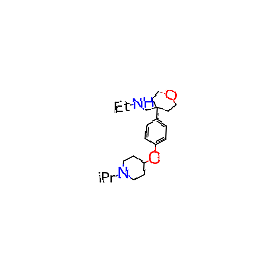 CCNCC1(c2ccc(OC3CCN(C(C)C)CC3)cc2)CCOCC1